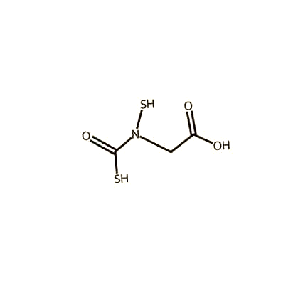 O=C(O)CN(S)C(=O)S